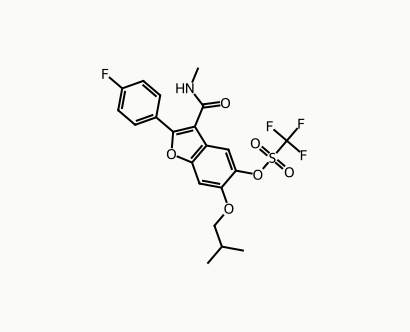 CNC(=O)c1c(-c2ccc(F)cc2)oc2cc(OCC(C)C)c(OS(=O)(=O)C(F)(F)F)cc12